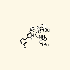 CC(=O)c1cc(-c2cccc(F)c2)nn1C(CNC(=O)OC(C)(C)C)CO[Si](C)(C)C(C)(C)C